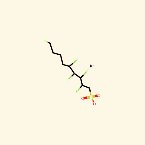 O=S(=O)([O-])CC(F)C(F)C(F)C(F)CCCCF.[K+]